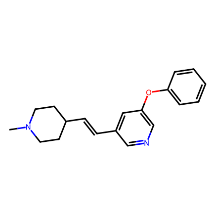 CN1CCC(/C=C/c2cncc(Oc3ccccc3)c2)CC1